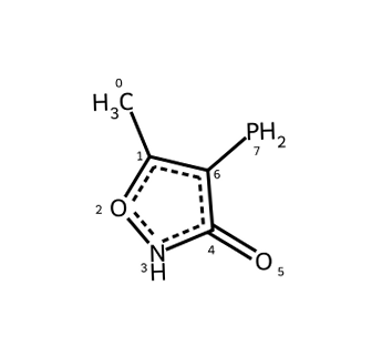 Cc1o[nH]c(=O)c1P